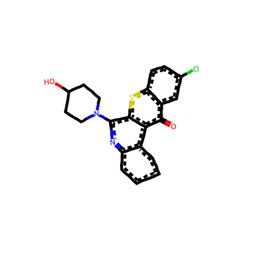 O=c1c2cc(Cl)ccc2sc2c(N3CCC(O)CC3)nc3ccccc3c12